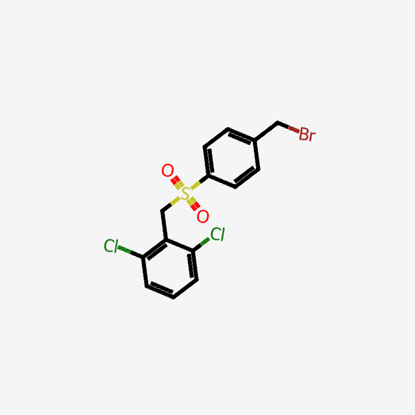 O=S(=O)(Cc1c(Cl)cccc1Cl)c1ccc(CBr)cc1